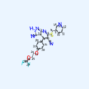 N#Cc1c(N)nc(SCc2cccnc2)c(C#N)c1-c1ccc(OCCOC(F)F)cc1